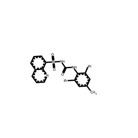 Cc1cc(C(C)C)c(NC(=O)NS(=O)(=O)c2cccc3cccnc23)c(C(C)C)c1